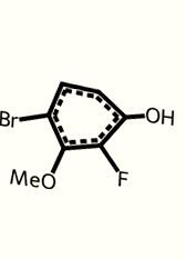 COc1c(Br)ccc(O)c1F